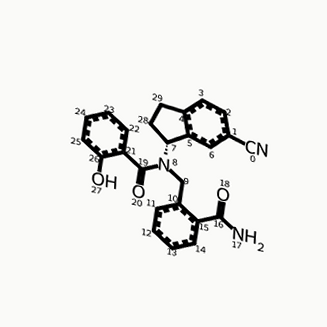 N#Cc1ccc2c(c1)[C@H](N(Cc1ccccc1C(N)=O)C(=O)c1ccccc1O)CC2